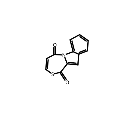 O=c1sccc(=O)n2c1cc1ccccc12